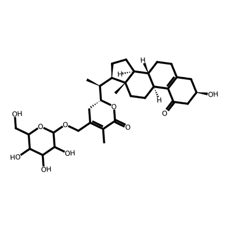 CC1=C(COC2OC(CO)C(O)C(O)C2O)C[C@H]([C@@H](C)[C@H]2CC[C@H]3[C@@H]4CCC5=C(C(=O)C[C@H](O)C5)[C@H]4CC[C@]23C)OC1=O